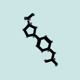 CN[C@H]1CCN(C2=CCN(CC(C)C)C=C2)C1